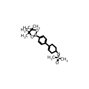 CC1(C)OB(c2ccc(C3=CCC(N=S(C)(C)=O)CC3)cc2)OC1(C)C